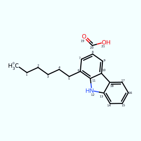 CCCCCCc1cccc2c1[nH]c1ccccc12.O=CO